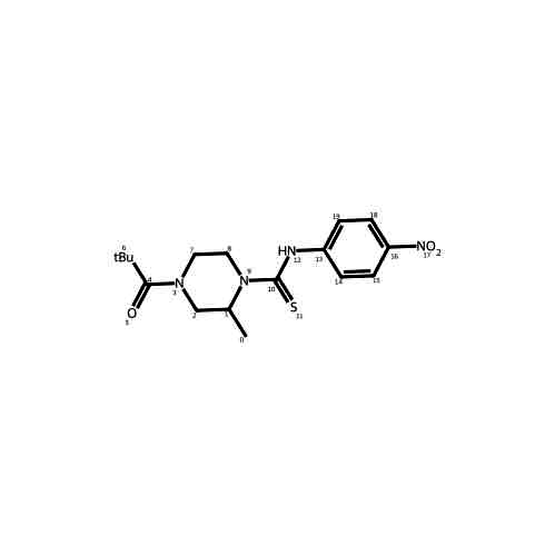 CC1CN(C(=O)C(C)(C)C)CCN1C(=S)Nc1ccc([N+](=O)[O-])cc1